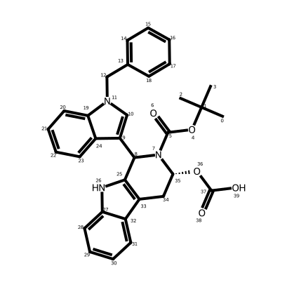 CC(C)(C)OC(=O)N1C(c2cn(Cc3ccccc3)c3ccccc23)c2[nH]c3ccccc3c2C[C@H]1OC(=O)O